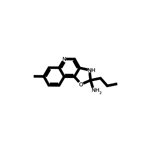 CCCC1(N)Nc2cnc3cc(C)ccc3c2O1